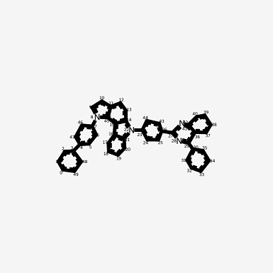 c1ccc(-c2ccc(-n3ccc4ccc5c(c6ccccc6n5-c5ccc(-c6nc(-c7ccccc7)c7ccccc7n6)cc5)c43)cc2)cc1